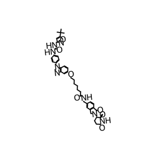 CC(C)(C)c1cc(NC(=O)Nc2ccc(-n3cnc4cc(OCCCCCCC(=O)NCc5ccc6c(c5)CN(C5CCC(=O)NC5=O)C6=O)ccc43)cc2)no1